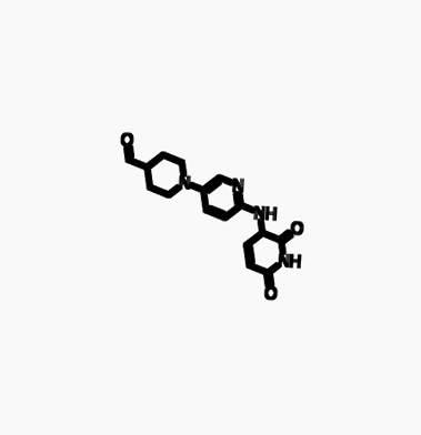 O=CC1CCN(c2ccc(NC3C=CC(=O)NC3=O)nc2)CC1